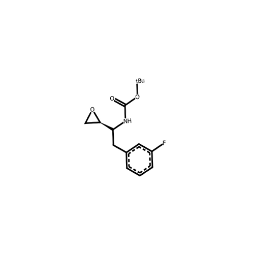 CC(C)(C)OC(=O)NC(Cc1cccc(F)c1)[C@H]1CO1